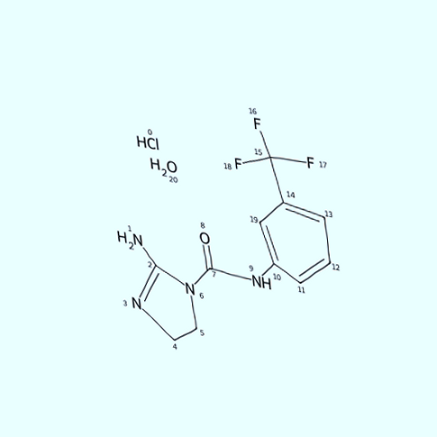 Cl.NC1=NCCN1C(=O)Nc1cccc(C(F)(F)F)c1.O